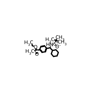 CCOP(C)(=O)c1ccc([C@@H](N[S@@+]([O-])C(C)(C)C)C2CCCCC2)cc1